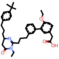 CCOc1ccc(CC(=O)O)cc1-c1cccc(CCCC2=NC(CCCc3ccc(C(C)(C)C)cc3)CC(=O)N2CC)c1